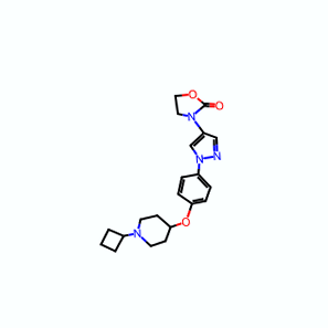 O=C1OCCN1c1cnn(-c2ccc(OC3CCN(C4CCC4)CC3)cc2)c1